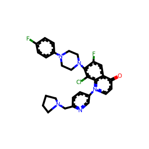 O=c1ccn(-c2ccc(CN3CCCC3)nc2)c2c(Cl)c(N3CCN(c4ccc(F)cc4)CC3)c(F)cc12